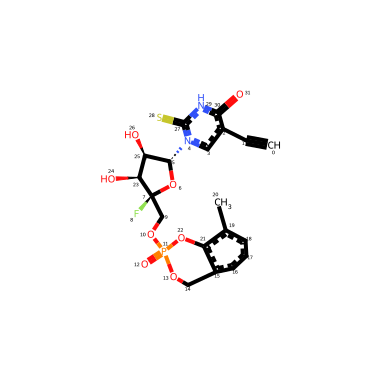 C#Cc1cn([C@@H]2O[C@](F)(COP3(=O)OCc4cccc(C)c4O3)[C@@H](O)[C@H]2O)c(=S)[nH]c1=O